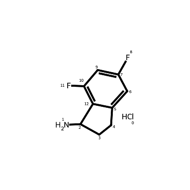 Cl.NC1CCc2cc(F)cc(F)c21